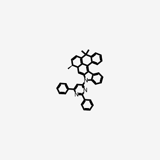 C[C@H]1C=CC2=C3C(=c4c(n(-c5cc(-c6ccccc6)nc(-c6ccccc6)n5)c5ccccc45)=CC31)c1ccccc1C2(C)C